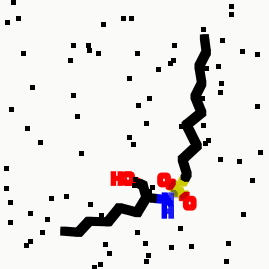 CCCCCCCCCCS(=O)(=O)NC(CO)CCCCCC